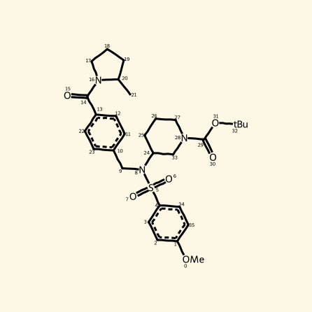 COc1ccc(S(=O)(=O)N(Cc2ccc(C(=O)N3CCCC3C)cc2)C2CCCN(C(=O)OC(C)(C)C)C2)cc1